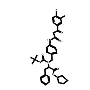 Cc1cc(C(=O)CC(=N)Nc2ccc(CN(C(=O)OC(C)(C)C)C(Cc3ccccc3)C(=O)OC3CCCC3)cc2)ccc1F